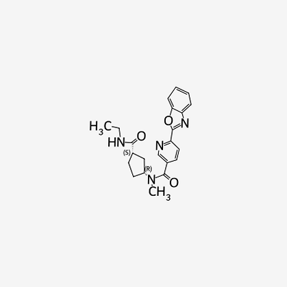 CCNC(=O)[C@H]1CC[C@@H](N(C)C(=O)c2ccc(-c3nc4ccccc4o3)nc2)C1